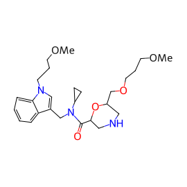 COCCCOCC1CNCC(C(=O)N(Cc2cn(CCCOC)c3ccccc23)C2CC2)O1